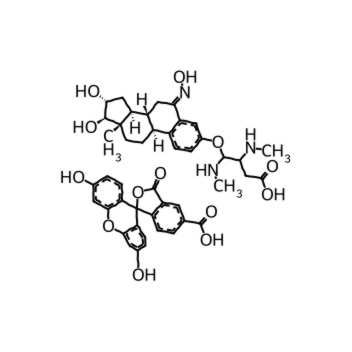 CNC(CC(=O)O)C(NC)Oc1ccc2c(c1)C(=NO)C[C@@H]1[C@@H]2CC[C@]2(C)[C@@H](O)[C@H](O)C[C@@H]12.O=C(O)c1ccc2c(c1)C(=O)OC21c2ccc(O)cc2Oc2cc(O)ccc21